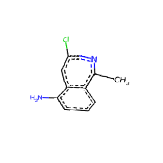 Cc1nc(Cl)cc2c(N)cccc12